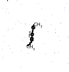 CCCCCc1ccc(-c2ccc(C#Cc3ccc(CC)cc3)c(F)c2F)cc1